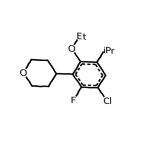 CCOc1c(C(C)C)cc(Cl)c(F)c1C1CCOCC1